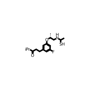 CC(S)NC[C@@H](C)Oc1cc(F)cc(CCC(=O)C(C)C)c1